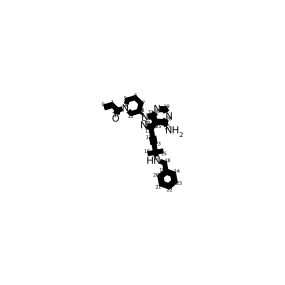 C=CC(=O)N1CCC[C@@H](n2nc(C#CC(C)(C)NCc3ccccc3)c3c(N)ncnc32)C1